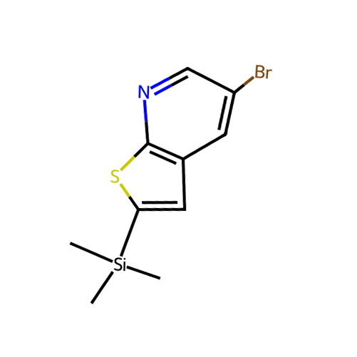 C[Si](C)(C)c1cc2cc(Br)cnc2s1